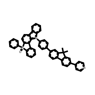 CC1(C)c2cc(-c3ccncc3)ccc2-c2ccc(-c3ccc(-n4c5ccccc5c5ccc6c(c54)-c4ccccc4P6(=O)c4ccccc4)cc3)cc21